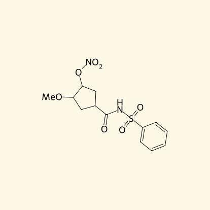 COC1CC(C(=O)NS(=O)(=O)c2ccccc2)CC1O[N+](=O)[O-]